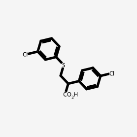 O=C(O)C(CSc1cccc(Cl)c1)c1ccc(Cl)cc1